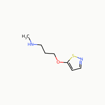 CNCCCOc1ccns1